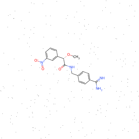 CO[C@H](C(=O)NCc1ccc(C(=N)N)cc1)c1cccc([N+](=O)[O-])c1